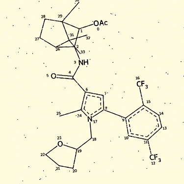 CC(=O)OC1C(NC(=O)c2cc(-c3cc(C(F)(F)F)ccc3C(F)(F)F)n(CC3CCCO3)c2C)C2CCC1(C)C2(C)C